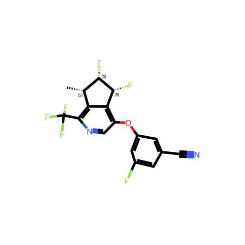 C[C@H]1c2c(C(F)(F)F)ncc(Oc3cc(F)cc(C#N)c3)c2[C@@H](F)[C@H]1F